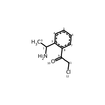 CC(N)c1ccccc1C(=O)CCl